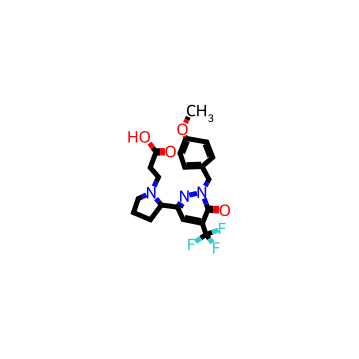 COc1ccc(Cn2nc(C3CCCN3CCC(=O)O)cc(C(F)(F)F)c2=O)cc1